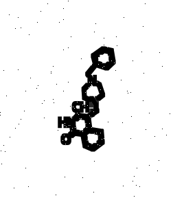 Cc1[nH]c(=O)c2ccccc2c1CN1CCN(Cc2ccccc2)CC1